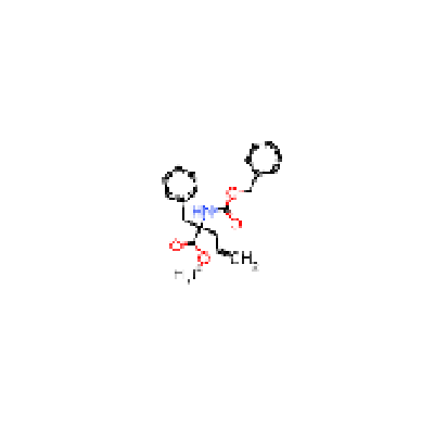 C=CC[C@@](Cc1ccccc1)(NC(=O)OCc1ccccc1)C(=O)OC